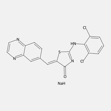 O=C1N=C(Nc2c(Cl)cccc2Cl)S/C1=C\c1ccc2nccnc2c1.[NaH]